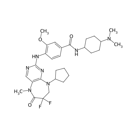 COc1cc(C(=O)NC2CCC(N(C)C)CC2)ccc1Nc1ncc2c(n1)N(C1CCCC1)CC(F)(F)C(=O)N2C